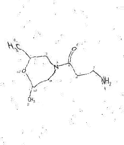 CC1CN(C(=O)CCN)CC(C)O1